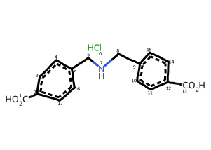 Cl.O=C(O)c1ccc(CNCc2ccc(C(=O)O)cc2)cc1